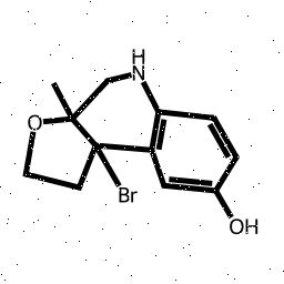 CC12CNc3ccc(O)cc3C1(Br)CCO2